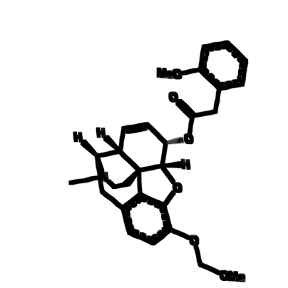 COCOc1ccc2c3c1O[C@H]1[C@@H](OC(=O)Cc4ccccc4OC)C=C[C@H]4[C@@H](C2)N(C)CC[C@@]341